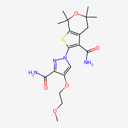 COCCOc1cn(-c2sc3c(c2C(N)=O)CC(C)(C)OC3(C)C)nc1C(N)=O